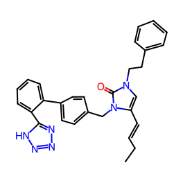 CCC=Cc1cn(CCc2ccccc2)c(=O)n1Cc1ccc(-c2ccccc2-c2nnn[nH]2)cc1